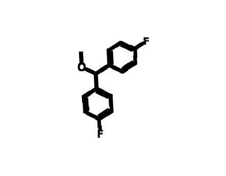 COC(c1ccc(F)cc1)c1ccc(F)cc1